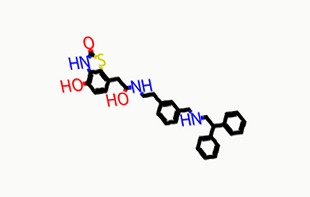 O=c1[nH]c2c(O)ccc(CC(O)NCCc3cccc(CNCC(c4ccccc4)c4ccccc4)c3)c2s1